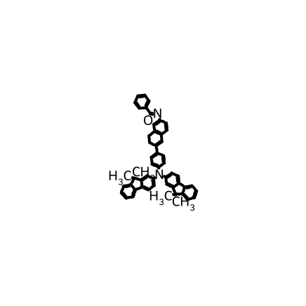 CC1(C)c2ccccc2-c2ccc(N(c3ccc(C4=Cc5ccc6nc(-c7ccccc7)oc6c5CC4)cc3)c3ccc4c(c3)C(C)(C)c3ccccc3-4)cc21